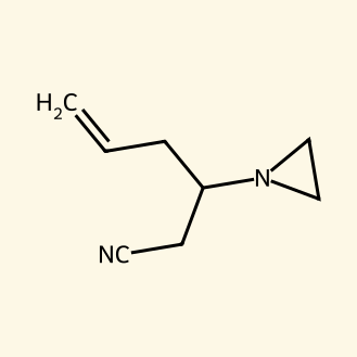 C=CCC(CC#N)N1CC1